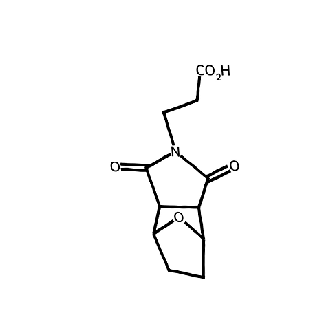 O=C(O)CCN1C(=O)C2C3CCC(O3)C2C1=O